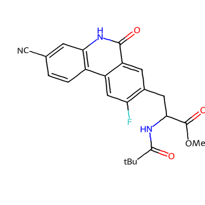 COC(=O)C(Cc1cc2c(=O)[nH]c3cc(C#N)ccc3c2cc1F)NC(=O)C(C)(C)C